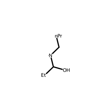 CCCC[N]C(O)CC